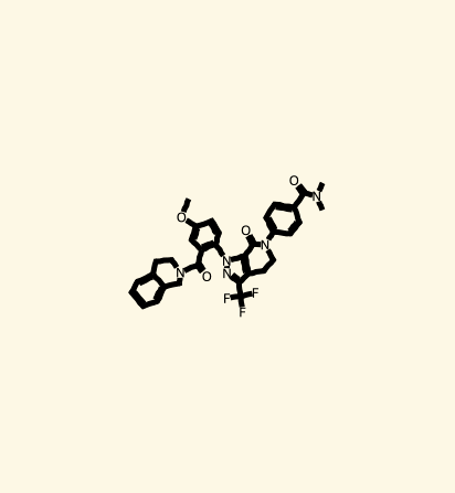 COc1ccc(-n2nc(C(F)(F)F)c3c2C(=O)N(c2ccc(C(=O)N(C)C)cc2)CC3)c(C(=O)N2CCc3ccccc3C2)c1